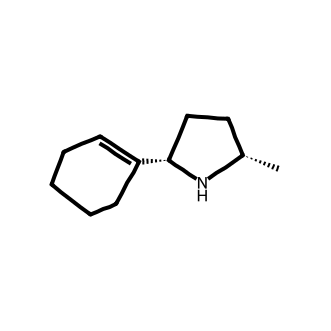 C[C@H]1CC[C@@H](C2=CCCCC2)N1